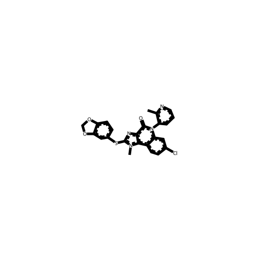 Cc1ncccc1-n1c(=O)c2nc(Sc3ccc4c(c3)OCO4)n(C)c2c2ccc(Cl)cc21